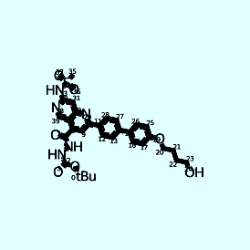 CC(C)(C)OC(=O)NNC(=O)c1cc(-c2ccc(-c3ccc(OCCCCO)cc3)cc2)nc2cc(NS(C)(=O)=O)ncc12